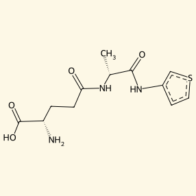 C[C@@H](NC(=O)CC[C@H](N)C(=O)O)C(=O)Nc1ccsc1